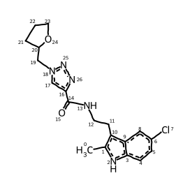 Cc1[nH]c2ccc(Cl)cc2c1CCNC(=O)c1cn(CC2CCCO2)nn1